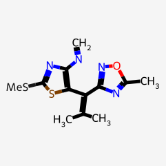 C=Nc1nc(SC)sc1C(=C(C)C)c1noc(C)n1